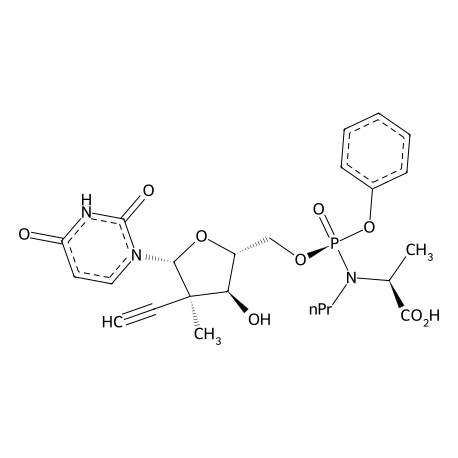 C#C[C@]1(C)[C@H](O)[C@@H](CO[P@@](=O)(Oc2ccccc2)N(CCC)[C@@H](C)C(=O)O)O[C@H]1n1ccc(=O)[nH]c1=O